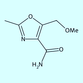 COCc1oc(C)nc1C(N)=O